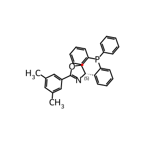 Cc1cc(C)cc(C2=N[C@@H](c3ccccc3P(c3ccccc3)c3ccccc3)CO2)c1